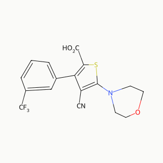 N#Cc1c(N2CCOCC2)sc(C(=O)O)c1-c1cccc(C(F)(F)F)c1